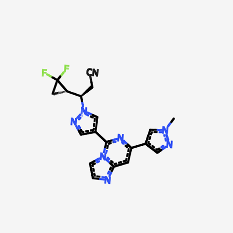 Cn1cc(-c2cc3nccn3c(-c3cnn([C@H](CC#N)[C@@H]4CC4(F)F)c3)n2)cn1